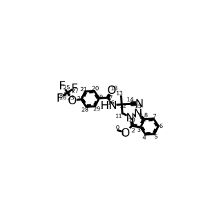 COc1c2ccccc2nn1CC(C)(C#N)NC(=O)c1ccc(OC(F)(F)F)cc1